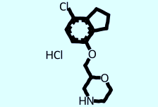 Cl.Clc1ccc(OCC2CNCCO2)c2c1CCC2